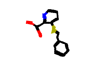 O=C(O)c1ncccc1SCc1ccccc1